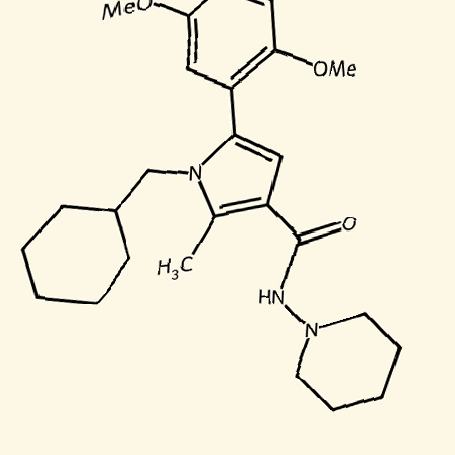 COc1ccc(OC)c(-c2cc(C(=O)NN3CCCCC3)c(C)n2CC2CCCCC2)c1